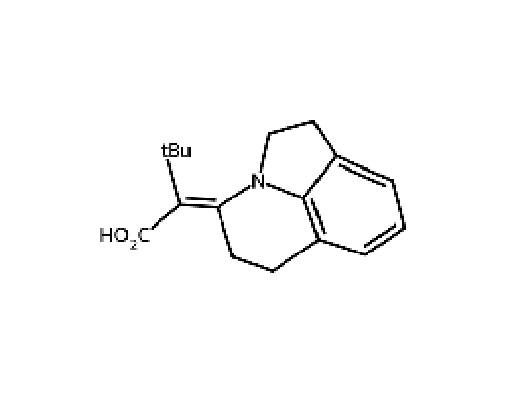 CC(C)(C)/C(C(=O)O)=C1/CCc2cccc3c2N1CC3